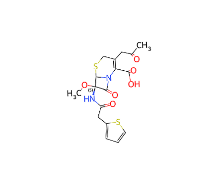 CO[C@@]1(NC(=O)Cc2cccs2)C(=O)N2C(C(=O)O)=C(CC(C)=O)CSC21